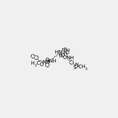 C/C(=C\C(=O)Nc1ccccc1C(=O)NCCCCCC(=O)NC(C(=O)N1CCCC1C(=O)NCc1ccc(-c2nc(C)cs2)cc1)C(C)(C)C)c1ccc2ccccc2c1